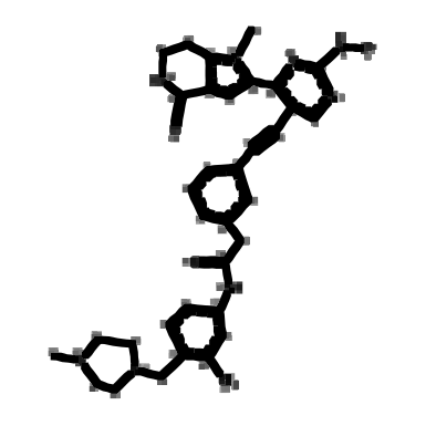 CC(C)Nc1ncc(C#Cc2cccc(CC(=O)Nc3ccc(CN4CCN(C)CC4)c(C(F)(F)F)c3)c2)c(-c2cc3c(n2C)CCNC3=O)n1